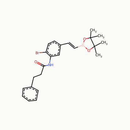 CC1(C)OB(C=Cc2ccc(Br)c(NC(=O)CCc3ccccc3)c2)OC1(C)C